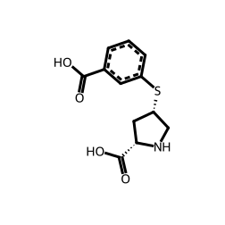 O=C(O)c1cccc(S[C@@H]2CN[C@H](C(=O)O)C2)c1